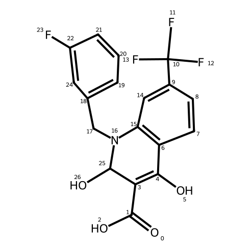 O=C(O)C1=C(O)c2ccc(C(F)(F)F)cc2N(Cc2cccc(F)c2)C1O